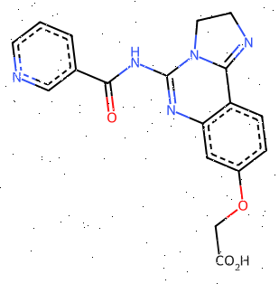 O=C(O)COc1ccc2c(c1)N=C(NC(=O)c1cccnc1)N1CCN=C21